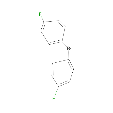 Fc1ccc([B]c2ccc(F)cc2)cc1